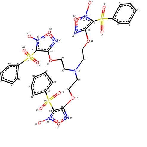 O=S(=O)(c1ccccc1)c1c(OCCN(CCOc2no[n+]([O-])c2S(=O)(=O)c2ccccc2)CCOc2no[n+]([O-])c2S(=O)(=O)c2ccccc2)no[n+]1[O-]